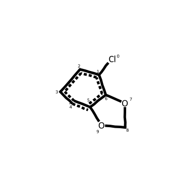 Clc1cc[c]c2c1OCO2